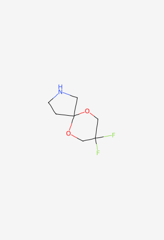 FC1(F)COC2(CCNC2)OC1